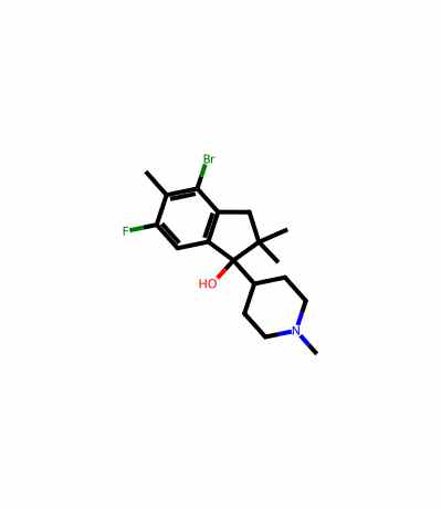 Cc1c(F)cc2c(c1Br)CC(C)(C)C2(O)C1CCN(C)CC1